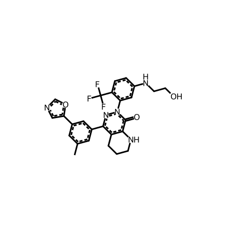 Cc1cc(-c2cnco2)cc(-c2nn(-c3cc(NCCO)ccc3C(F)(F)F)c(=O)c3c2CCCN3)c1